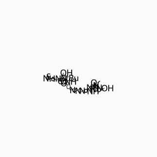 C=CCn1c(=O)c2cnc(Nc3ccc(N4CCN(C5CCN(CC6CCC(C(=O)N[C@H](C(=O)N7CC(O)CC7C(=O)NCc7ccc(-c8scnc8C)cc7)C(C)(C)C)CC6)CC5)CC4)cc3)nc2n1-c1cccc(C(C)(C)O)n1